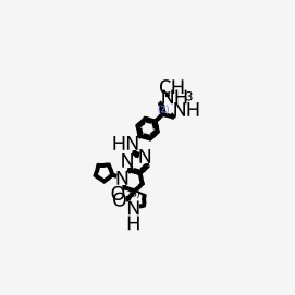 CN/C=C(\C=N)c1ccc(Nc2ncc3c(n2)N(C2CCCC2)C(=O)[C@]2(CCNC2=O)C3)cc1